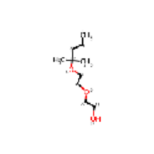 CCCC(C)(C)OCCOCCO